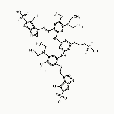 CCN(CC)c1cc(Nc2nc(Nc3cc(N(CC)CC)c(OC)cc3/N=N/c3snc4sc(S(=O)(=O)O)c(Cl)c34)nc(SCCS(=O)(=O)O)n2)c(/N=N/c2snc3sc(S(=O)(=O)O)c(Cl)c23)cc1OC